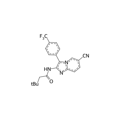 CC(C)(C)CC(=O)Nc1nc2ccc(C#N)cn2c1-c1ccc(C(F)(F)F)cc1